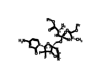 CC(C)OC(=O)[C@H](C)NP(=O)(N[C@@H](C)C(=O)OC(C)C)OC[C@@]1(N=[N+]=[N-])O[C@@H](n2ccc(N)nc2=O)C(F)(F)[C@@H]1O